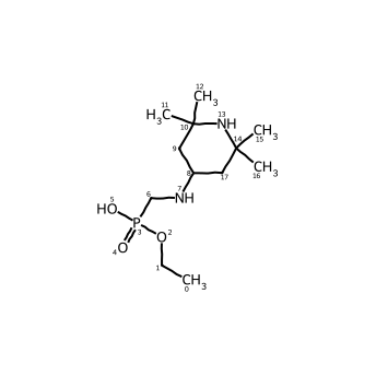 CCOP(=O)(O)CNC1CC(C)(C)NC(C)(C)C1